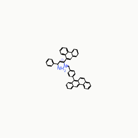 NC(/C=C(\N=C\c1ccc(-c2c3ccccc3cc3c2ccc2ccccc23)cc1)c1cc2ccccc2c2ccccc12)c1ccccc1